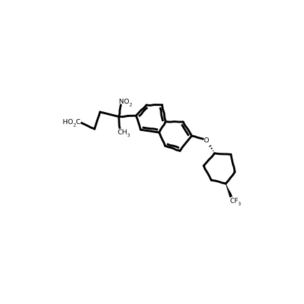 CC(CCC(=O)O)(c1ccc2cc(O[C@H]3CC[C@H](C(F)(F)F)CC3)ccc2c1)[N+](=O)[O-]